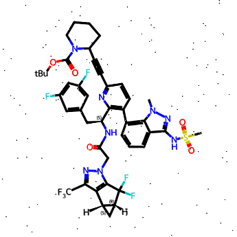 Cn1nc(NS(C)(=O)=O)c2cccc(-c3ccc(C#CC4CCCCN4C(=O)OC(C)(C)C)nc3[C@H](Cc3cc(F)cc(F)c3)NC(=O)Cn3nc(C(F)(F)F)c4c3C(F)(F)[C@@H]3C[C@H]43)c21